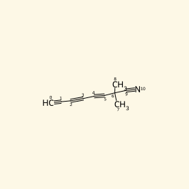 C#CC#CC#CC(C)(C)C#N